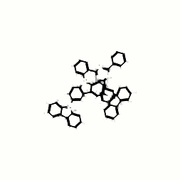 c1ccc(-c2nc(-c3ccccc3)nc(-c3ccccc3-n3c4ccc(-n5c6ccccc6c6ccccc65)cc4c4cc(-n5c6ccccc6c6ccccc65)ccc43)n2)cc1